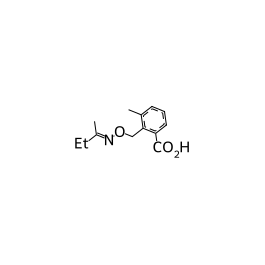 CCC(C)=NOCc1c(C)cccc1C(=O)O